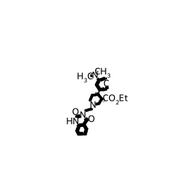 CCOC(=O)[C@H]1CN(CCn2c(=O)[nH]c3ccccc3c2=O)CC[C@H]1c1cccc(N(C)C)c1